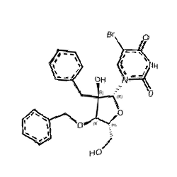 O=c1[nH]c(=O)n([C@@H]2O[C@H](CO)[C@@H](OCc3ccccc3)[C@]2(O)Cc2ccccc2)cc1Br